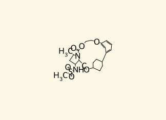 CC1CC(NS(C)(=O)=O)C2COC3CCC(CC3)c3cccc(c3)OCCOC(=O)N12